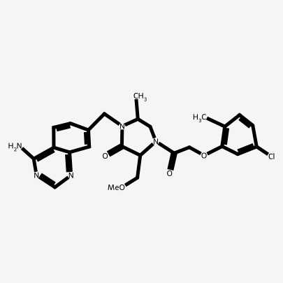 COCC1C(=O)N(Cc2ccc3c(N)ncnc3c2)C(C)CN1C(=O)COc1cc(Cl)ccc1C